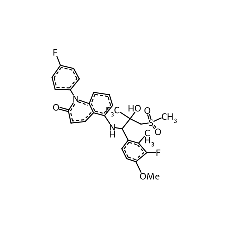 COc1ccc(C(Nc2cccc3c2ccc(=O)n3-c2ccc(F)cc2)C(O)(CS(C)(=O)=O)C(F)(F)F)c(C)c1F